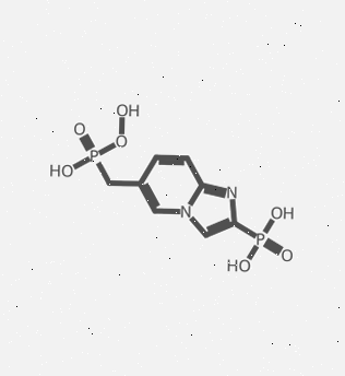 O=P(O)(Cc1ccc2nc(P(=O)(O)O)cn2c1)OO